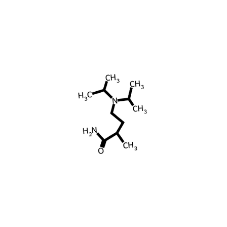 CC(CCN(C(C)C)C(C)C)C(N)=O